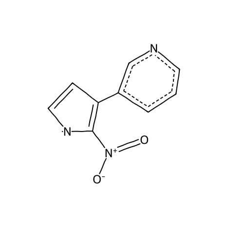 O=[N+]([O-])C1=C(c2cccnc2)C=C[N]1